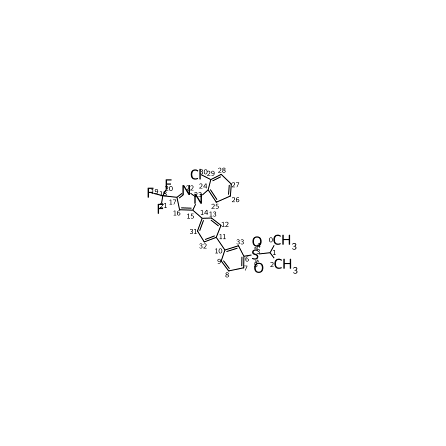 CC(C)S(=O)(=O)c1cccc(-c2ccc(-c3cc(C(F)(F)F)nn3-c3ccccc3Cl)cc2)c1